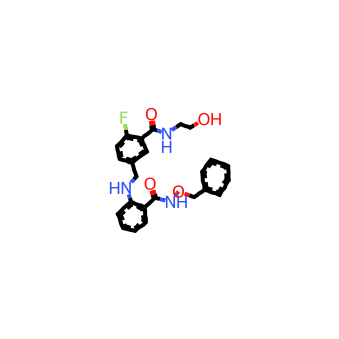 O=C(NCCO)c1cc(CNc2ccccc2C(=O)NOCc2ccccc2)ccc1F